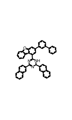 c1ccc(-c2cccc(-c3cc(C4=NC(c5ccc6ccccc6c5)=NC(c5ccc6ccccc6c5)N4)c4c(c3)oc3ccccc34)c2)cc1